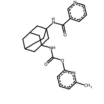 Cc1cccc(OC(=O)NC23CC4CC(C2)CC(NC(=O)c2cccnc2)(C4)C3)n1